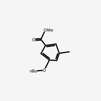 [CH2]c1cc(OCCCC)cc(C(=O)OC)c1